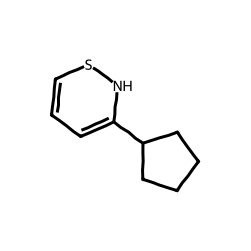 C1=CSNC(C2CCCC2)=C1